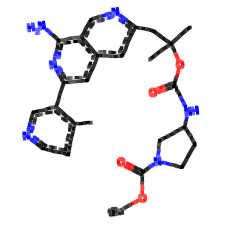 Cc1ccncc1-c1cc2cc(CC(C)(C)OC(=O)NC3CCN(C(=O)OC(C)(C)C)C3)ncc2c(N)n1